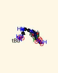 [2H]C1([2H])N(CC2CCN(c3ccc(-c4ccc5[nH]nc(-c6ccc(CNC(=O)c7nc(C(C)(C)C)no7)c(C)c6)c5c4)cc3)CC2)C([2H])([2H])C([2H])([2H])N(c2cc(F)c3c(c2F)C(=O)N(C2CCC(=O)NC2=O)C3=O)C1([2H])[2H]